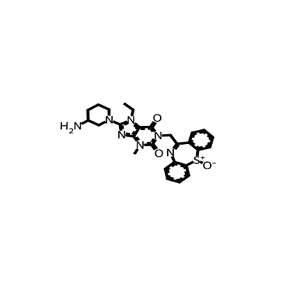 CCn1c(N2CCCC(N)C2)nc2c1c(=O)n(CC1=Nc3ccccc3[S+]([O-])c3ccccc31)c(=O)n2C